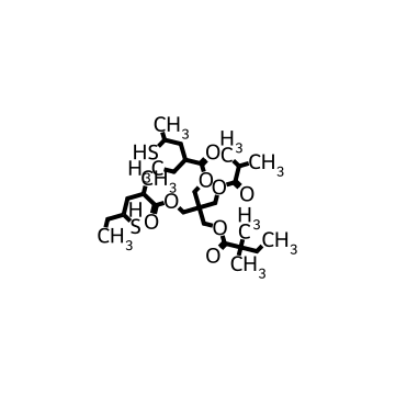 CCC(S)CC(C)C(=O)OCC(COC(=O)C(C)C)(COC(=O)C(CC)CC(C)S)COC(=O)C(C)(C)CC